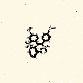 COc1ccc(C(=C(c2ccccc2C)c2ccc(OC)cc2[Si](C)(C)C)[Si](C)(C)C)cc1